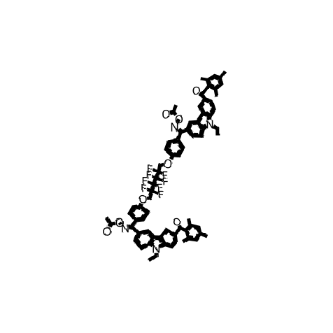 CCn1c2ccc(C(=O)c3c(C)cc(C)cc3C)cc2c2cc(C(=NOC(C)=O)c3ccc(OCC(F)(F)C(F)(F)C(F)(F)C(F)(F)COc4ccc(C(=NOC(C)=O)c5ccc6c(c5)c5cc(C(=O)c7c(C)cc(C)cc7C)ccc5n6CC)cc4)cc3)ccc21